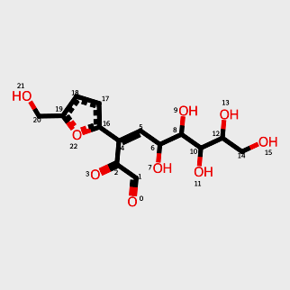 O=CC(=O)/C(=C\C(O)C(O)C(O)C(O)CO)c1ccc(CO)o1